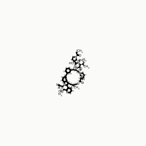 C=CC(=O)N1CCC(O)(C(=O)N(C)[C@H](C(=O)N[C@H]2Cc3cccc(c3)-c3ccc4c(c3)c(c(-c3cccnc3[C@H](C)OC)n4CC#N)CC(C)(C)COC(=O)[C@@H]3CCCN(N3)C2=O)C(C)C)C1